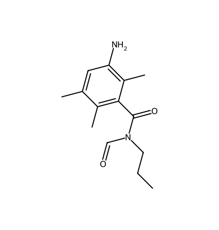 CCCN(C=O)C(=O)c1c(C)c(C)cc(N)c1C